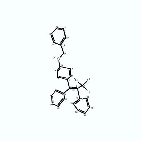 FC(F)(F)/C(=C(/c1ccccc1)c1ccc(OCc2ccccc2)cc1)c1ccccc1